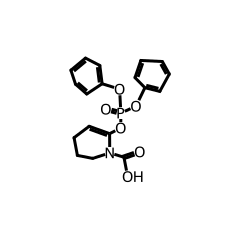 O=C(O)N1CCCC=C1OP(=O)(Oc1ccccc1)Oc1ccccc1